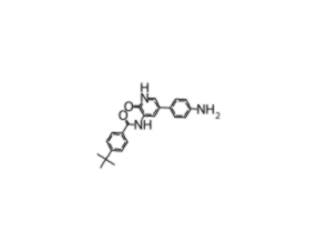 CC(C)(C)c1ccc(C(=O)Nc2cc(-c3ccc(N)cc3)c[nH]c2=O)cc1